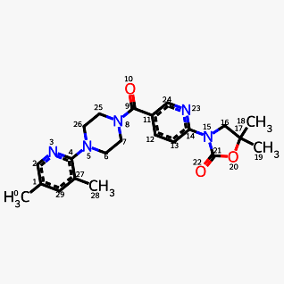 Cc1cnc(N2CCN(C(=O)c3ccc(N4CC(C)(C)OC4=O)nc3)CC2)c(C)c1